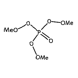 COOP(=O)(OOC)OOC